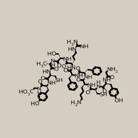 C[C@H](NC(=O)[C@H](CO)NC(=O)[C@H](CCCNC(=N)N)NC(=O)[C@H](Cc1ccccc1)NC(=O)[C@H](Cc1ccccc1)NC(=O)[C@H](CCCCN)NC(=O)[C@H](CS)NC(=O)[C@H](Cc1ccc(O)cc1)NC(=O)CN)C(=O)N[C@@H](CS)C(=O)N[C@@H](Cc1ccc(O)cc1)C(=O)NCC(=O)O